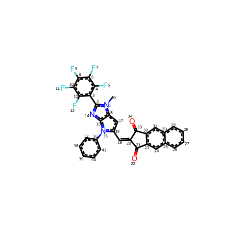 Cn1c(-c2c(F)c(F)c(F)c(F)c2F)nc2c1cc(C=C1C(=O)c3cc4ccccc4cc3C1=O)n2-c1ccccc1